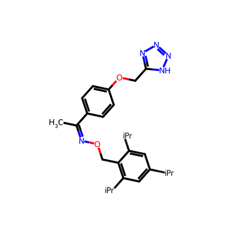 CC(=NOCc1c(C(C)C)cc(C(C)C)cc1C(C)C)c1ccc(OCc2nnn[nH]2)cc1